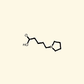 [O]C(O)CCCCN1CCCC1